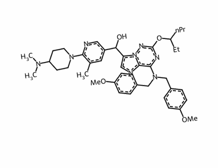 CCCC(CC)Oc1nc(N(Cc2ccc(OC)cc2)Cc2ccc(OC)cc2)c2ncc(C(O)c3cnc(N4CCC(N(C)C)CC4)c(C)c3)n2n1